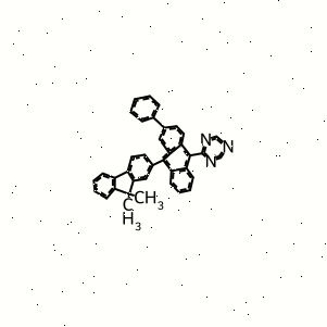 CC1(C)c2ccccc2-c2ccc(-c3c4ccccc4c(-c4ncncn4)c4ccc(-c5ccccc5)cc34)cc21